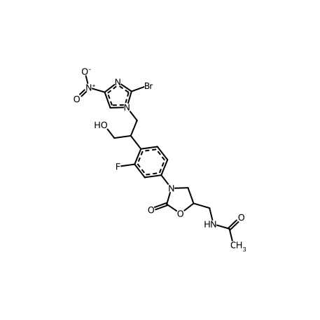 CC(=O)NCC1CN(c2ccc(C(CO)Cn3cc([N+](=O)[O-])nc3Br)c(F)c2)C(=O)O1